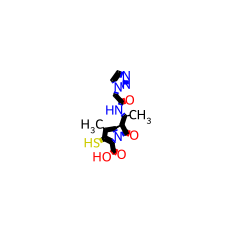 C[C@H]1C(S)=C(C(=O)O)N2C(=O)[C@H]([C@@H](C)NC(=O)Cn3ccnn3)C12